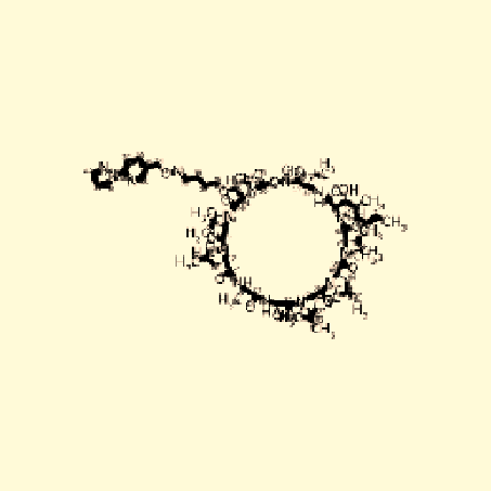 C/C=C/C[C@@H](C)[C@@H](O)[C@@H]1C(=O)N[C@@H](CC)C(=O)N(C)CC(=O)N(C)[C@@H]([C@@H](C)OCCC/C=N/OCc2ccc(-n3cccn3)nc2)C(=O)N[C@@H](C(C)C)C(=O)N(C)[C@@H](CC(C)C)C(=O)N[C@@H](C)C(=O)N[C@H](C)C(=O)N(C)[C@@H](CC(C)C)C(=O)N(C)[C@@H](CC(C)C)C(=O)N(C)[C@@H](C(C)C)C(=O)N1C